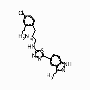 Cc1n[nH]c2ccc(-c3nnc(NC[C@H](N)Cc4ccc(Cl)cc4Cl)s3)cc12